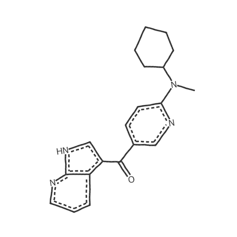 CN(c1ccc(C(=O)c2c[nH]c3ncccc23)cn1)C1CCCCC1